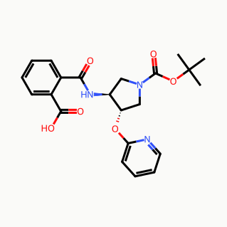 CC(C)(C)OC(=O)N1C[C@H](NC(=O)c2ccccc2C(=O)O)[C@@H](Oc2ccccn2)C1